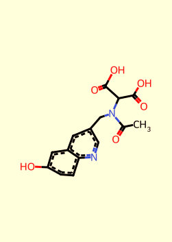 CC(=O)N(Cc1cnc2ccc(O)cc2c1)C(C(=O)O)C(=O)O